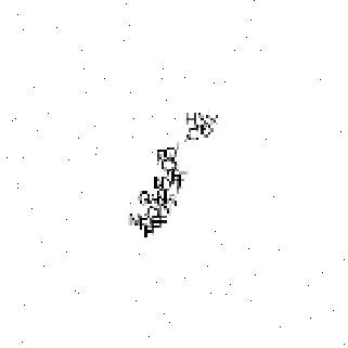 CC(NC(=O)COCCCCOc1ccc(-c2ncc(N(C(=S)N(C)c3ccc(C#N)c(C(F)(F)F)c3F)C(C)(C)C=O)cc2C(F)(F)F)cc1F)C(C)(C)C